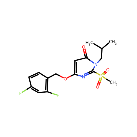 CC(C)Cn1c(S(C)(=O)=O)nc(OCc2ccc(F)cc2F)cc1=O